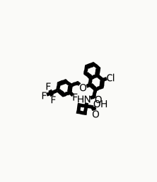 O=C(NC1(C(=O)O)CCC1)c1cc(Cl)c2ccccc2c1OCc1ccc(C(F)(F)F)cc1F